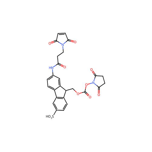 O=C(CCN1C(=O)C=CC1=O)Nc1ccc2c(c1)C(COC(=O)ON1C(=O)CCC1=O)c1ccc(S(=O)(=O)O)cc1-2